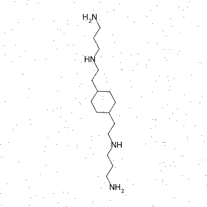 NCCCNCCC1CCC(CCNCCCN)CC1